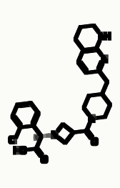 O=C(O)[C@H](c1ccccc1Cl)N1CC(C(=O)N2CCC(Cc3ccc4c(n3)NCCC4)CC2)C1